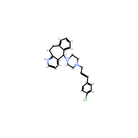 Clc1ccc(/C=C/CN2CCN(C3c4ccccc4CCc4ncccc43)CC2)cc1